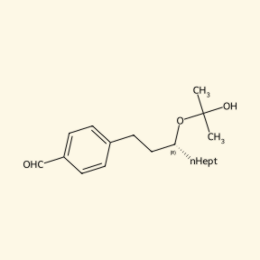 CCCCCCC[C@H](CCc1ccc(C=O)cc1)OC(C)(C)O